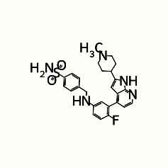 CN1CCC(c2cc3c(-c4cc(NCc5ccc(S(N)(=O)=O)cc5)ccc4F)ccnc3[nH]2)CC1